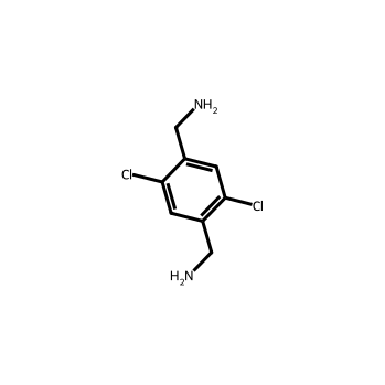 NCc1cc(Cl)c(CN)cc1Cl